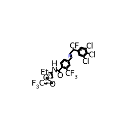 CC[C@H](CS(=O)(=O)CC(F)(F)F)NC(=O)c1ccc(/C=C/C(c2cc(Cl)c(Cl)c(Cl)c2)C(F)(F)F)cc1C(F)(F)F